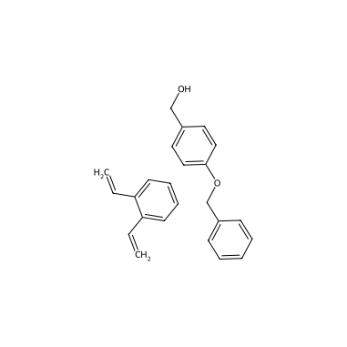 C=Cc1ccccc1C=C.OCc1ccc(OCc2ccccc2)cc1